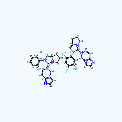 Fc1cc(F)c(N2C=C3CCCN3C2N2C=Cc3nccn3C2)cc1F.Fc1cccc(F)c1N1C=C2CCCN2C1N1C=Cc2nccn2C1